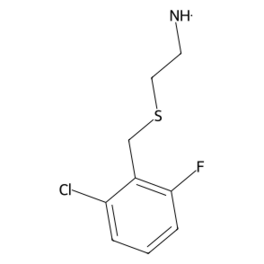 [NH]CCSCc1c(F)cccc1Cl